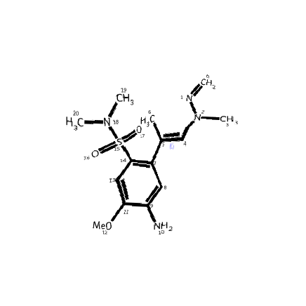 C=NN(C)/C=C(\C)c1cc(N)c(OC)cc1S(=O)(=O)N(C)C